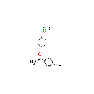 C=C(OCC1CCC(COC)CC1)c1ccc(C)cc1